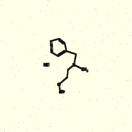 CCCOCCN(C)Cc1ccccc1.Cl